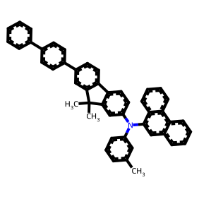 Cc1cccc(N(c2ccc3c(c2)C(C)(C)c2cc(-c4ccc(-c5ccccc5)cc4)ccc2-3)c2cc3ccccc3c3ccccc23)c1